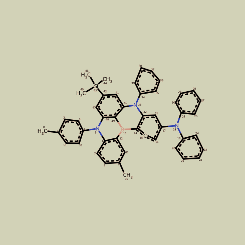 Cc1ccc(N2c3ccc(C)cc3B3c4ccc(N(c5ccccc5)c5ccccc5)cc4N(c4ccccc4)c4cc([Si](C)(C)C)cc2c43)cc1